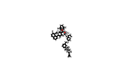 C#Cc1c(F)ccc2cccc(-c3ncc4c(N5C[C@H]6CC[C@@H](C5)N6C(=O)OC(C)(C)C)nc(OC[C@@]56CCCN5C[C@@H](OCc5cccc(S(=O)(=O)n7cnc(C8CC8)n7)c5)C6)nc4c3F)c12